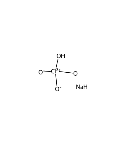 [NaH].[O-][Cl+3]([O-])([O-])O